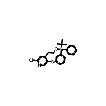 CC(C)(C)[Si](OCCc1cc(Cl)ncc1Br)(c1ccccc1)c1ccccc1